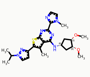 CO[C@H]1C[C@@H](Nc2nc(-c3nccn3C)nc3sc(-c4ccn(C(C)C)n4)c(C)c23)C[C@H]1OC